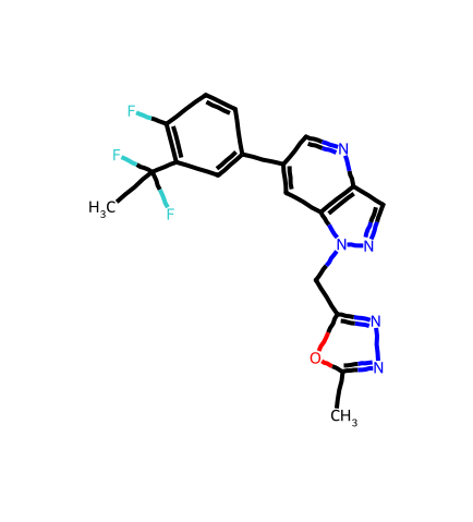 Cc1nnc(Cn2ncc3ncc(-c4ccc(F)c(C(C)(F)F)c4)cc32)o1